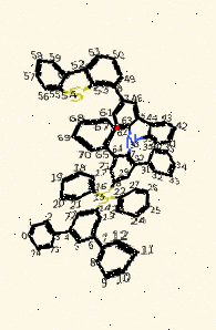 c1ccc(-c2cc(-c3ccccc3)cc(S(c3ccccc3)(c3ccccc3)c3cc(-c4ccccc4)c(-n4c5ccccc5c5cc(-c6cccc7c6sc6ccccc67)ccc54)c(-c4ccccc4)c3)c2)cc1